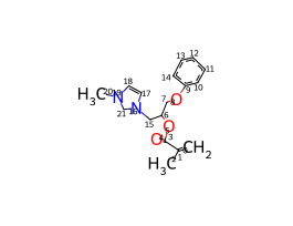 C=C(C)C(=O)OC(COc1ccccc1)CN1C=CN(C)C1